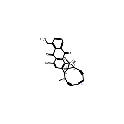 C[C@@H]1C#C/C=C\C#C[C@@H]2Nc3c(cc(O)c4c3C(=O)c3cccc(CN)c3C4=O)[C@]13O[C@@]23[C@@H](C)O